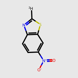 [2H]c1nc2ccc([N+](=O)[O-])cc2s1